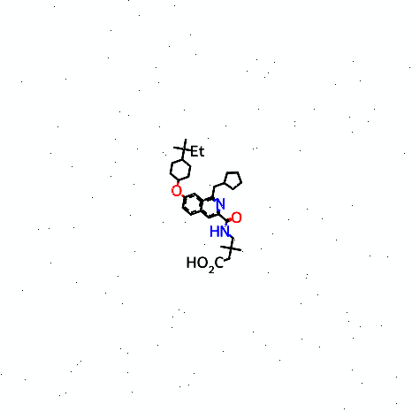 CCC(C)(C)C1CCC(Oc2ccc3cc(C(=O)NCC(C)(C)CC(=O)O)nc(CC4CCCC4)c3c2)CC1